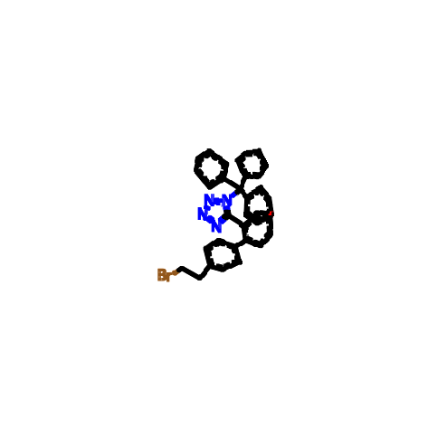 BrCCc1ccc(-c2ccccc2-c2nnnn2C(c2ccccc2)(c2ccccc2)c2ccccc2)cc1